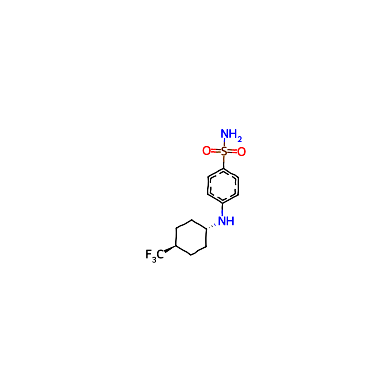 NS(=O)(=O)c1ccc(N[C@H]2CC[C@H](C(F)(F)F)CC2)cc1